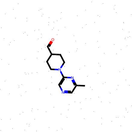 Cc1cncc(N2CCC(C=O)CC2)n1